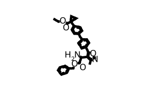 CCOC(=O)C1(c2ccc(-c3ccc(-c4onc(C)c4C(N)C(=O)OCc4ccccc4)cc3)cc2)CC1